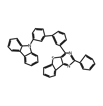 c1ccc(-c2nc(-c3cccc(-c4cccc(-n5c6ccccc6c6ccccc65)c4)c3)c3sc4ccccc4c3n2)cc1